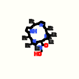 CCC1=C(CC)c2nc1c(CC)c1ccc([nH]1)c(CC)c1nc(c(CC)c3c(CC)c(CC)c(c2C(=O)NCO)n3CC)C=C1